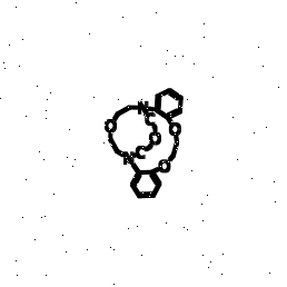 c1ccc2c(c1)OCCOc1ccccc1N1CCOCCN2CCOCC1